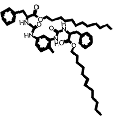 CCCCCCCCCCCCOC(=O)C(Cc1ccccc1)NC(=O)Nc1ccc(C)c(NC(=O)NC(Cc2ccccc2)C(=O)OCCCCCCCCCCCC)c1